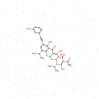 CN(C)c1cc(C#Cc2cccc(O)c2)c(O)c2c1CC1CC3C(N(C)C)C(O)=C(C(N)=O)C(=O)C3(O)C(O)=C1C2=O